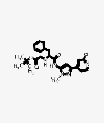 Cn1nc(-c2ccnc(Cl)c2)cc1NC(=O)C(Cc1ccccc1)NCC(=O)OC(C)(C)C